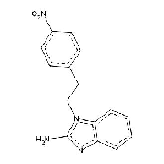 Nc1nc2ccccc2n1CCc1ccc([N+](=O)[O-])cc1